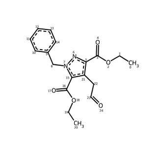 CCOC(=O)c1nn(Cc2ccccc2)c(C(=O)OCC)c1CC=O